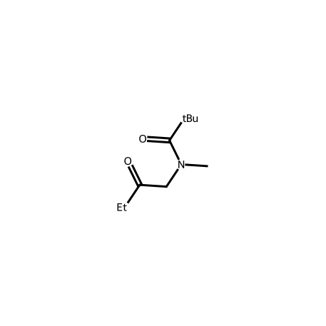 CCC(=O)CN(C)C(=O)C(C)(C)C